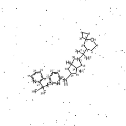 [2H]C([2H])(C1CCOC2(CCC2)C1)N1C[C@H]2CC(Nc3ccc(-c4cccnc4C(F)(F)F)nn3)C[C@H]2C1